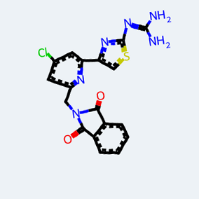 NC(N)=Nc1nc(-c2cc(Cl)cc(CN3C(=O)c4ccccc4C3=O)n2)cs1